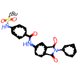 CC(C)(C)S(=O)(=O)Nc1ccc(C(=O)Nc2ccc3c(c2)C(=O)N(c2ccccc2)C3=O)cc1